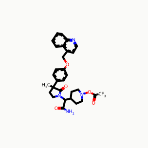 CC1(c2ccc(OCc3ccnc4ccccc34)cc2)CCN(C(C(N)=O)C2CCN(OC(=O)C(F)(F)F)CC2)C1=O